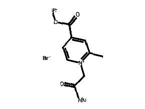 CCCCC(=O)C[n+]1ccc(C(=O)OC(C)C)cc1C.[Br-]